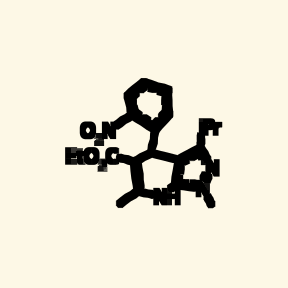 CCOC(=O)C1=C(C)Nc2c(c(C(C)C)nn2C)C1c1ccccc1[N+](=O)[O-]